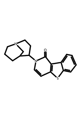 O=c1c2c(ccn1C1CCN3CCCC1C3)sc1ccccc12